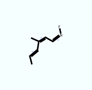 C/C=C/C(C)=C\C=N/F